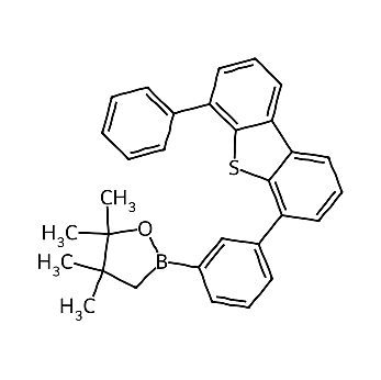 CC1(C)CB(c2cccc(-c3cccc4c3sc3c(-c5ccccc5)cccc34)c2)OC1(C)C